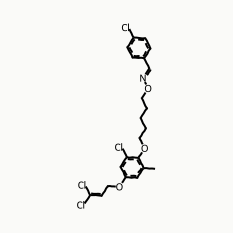 Cc1cc(OCC=C(Cl)Cl)cc(Cl)c1OCCCCCON=Cc1ccc(Cl)cc1